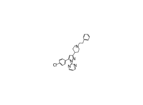 Clc1ccc(-c2cc(C3CCN(CCc4ccccc4)CC3)nn2-c2ncccn2)cc1